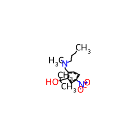 CCCCN(C)Cc1ccc([N+](=O)[O-])cc1C(C)(C)O